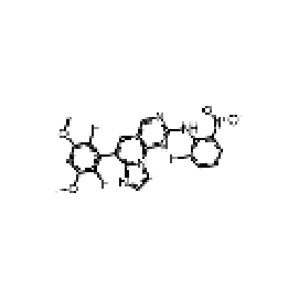 COc1cc(OC)c(F)c(-c2cc3cnc(Nc4c(F)cccc4[N+](=O)[O-])nc3n3ccnc23)c1F